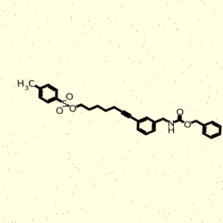 Cc1ccc(S(=O)(=O)OCCCCCC#Cc2cccc(CNC(=O)OCc3ccccc3)c2)cc1